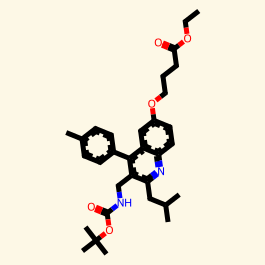 CCOC(=O)CCCOc1ccc2nc(CC(C)C)c(CNC(=O)OC(C)(C)C)c(-c3ccc(C)cc3)c2c1